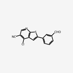 N#Cc1cnc2sc(-c3cccc(C=O)c3)cc2c1Cl